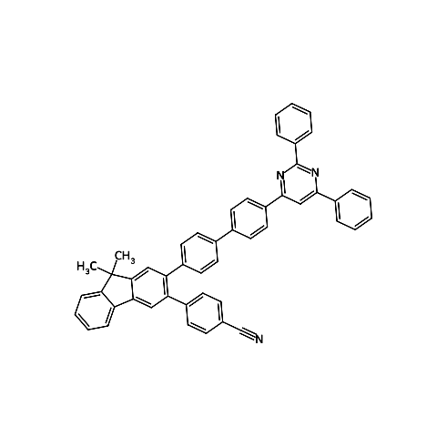 CC1(C)c2ccccc2-c2cc(-c3ccc(C#N)cc3)c(-c3ccc(-c4ccc(-c5cc(-c6ccccc6)nc(-c6ccccc6)n5)cc4)cc3)cc21